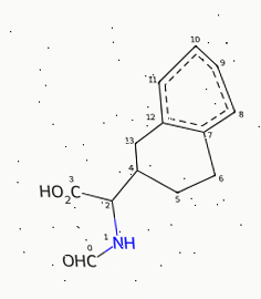 O=CNC(C(=O)O)C1CCc2ccccc2C1